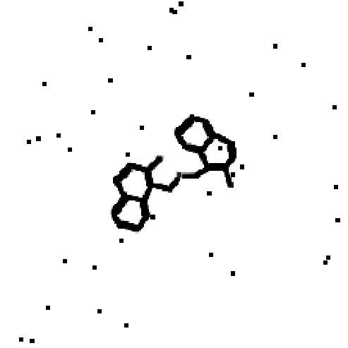 Cc1ccc2ccccc2c1C[N]Cc1c(C)ccc2ccccc12